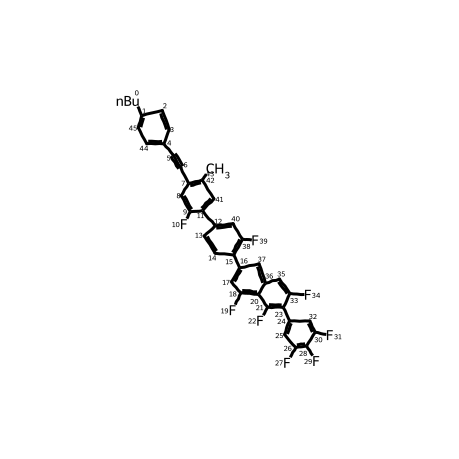 CCCCc1ccc(C#Cc2cc(F)c(-c3ccc(-c4cc(F)c5c(F)c(-c6cc(F)c(F)c(F)c6)c(F)cc5c4)c(F)c3)cc2C)cc1